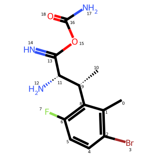 Cc1c(Br)ccc(F)c1[C@@H](C)[C@H](N)C(=N)OC(N)=O